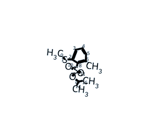 CSc1cccc(C)c1S(=O)(=O)OC(C)C